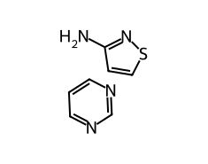 Nc1ccsn1.c1cncnc1